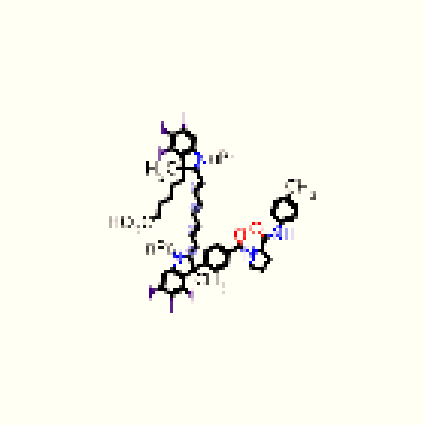 CCCN1\C(=C/C=C/C=C/C=C/C2=[N+](CCC)c3cc(I)c(I)c(I)c3C2(C)CCCCCC(=O)O)C(C)(c2ccc(C(=O)N3CCCC3C(=O)Nc3ccc(C)cc3)cc2)c2c1cc(I)c(I)c2I